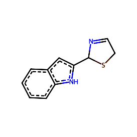 C1=NC(c2cc3ccccc3[nH]2)SC1